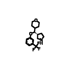 FC(F)(F)c1cccc(OC(C2CCOCC2)[C@@H]2CCNC2)c1